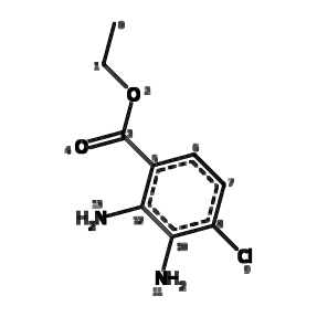 CCOC(=O)c1ccc(Cl)c(N)c1N